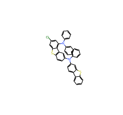 Clc1cc(N(c2ccccc2)c2ccccc2)c2c(c1)sc1ccc(N(c3ccccc3)c3ccc4c(c3)sc3ccccc34)cc12